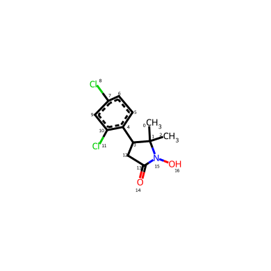 CC1(C)C(c2ccc(Cl)cc2Cl)CC(=O)N1O